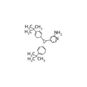 CC(C)(C)C1=CCC=C([C@H]2C(c3ccnc(N)c3)C2C2C=CC(C(C)(C)C)=CC2)C=C1